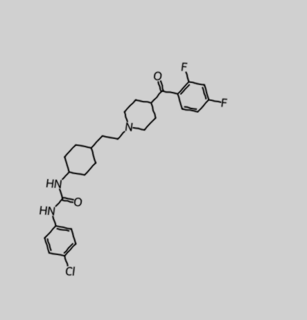 O=C(Nc1ccc(Cl)cc1)NC1CCC(CCN2CCC(C(=O)c3ccc(F)cc3F)CC2)CC1